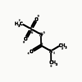 CN(C)C(=O)[N]S(C)(=O)=O